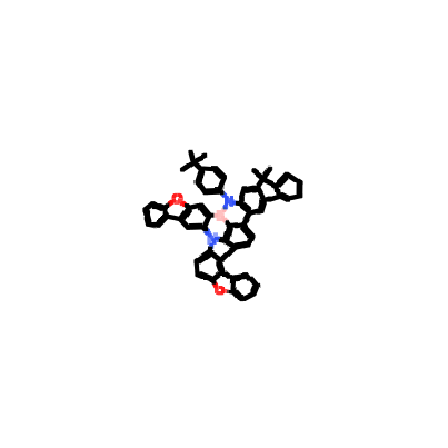 CC(C)(C)c1ccc(N2B3c4cc5oc6ccccc6c5cc4-n4c5ccc6oc7ccccc7c6c5c5ccc(c3c54)-c3cc4c(cc32)C(C)(C)c2ccccc2-4)cc1